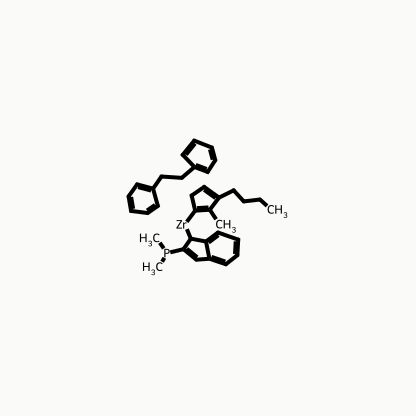 CCCCC1=CC[C]([Zr][CH]2C(P(C)C)=Cc3ccccc32)=C1C.c1ccc(CCc2ccccc2)cc1